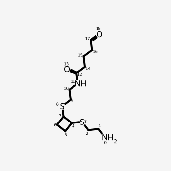 NCCSC1CCC1SCCNC(=O)CCCC=O